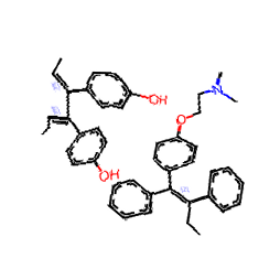 C/C=C(/C(=C/C)c1ccc(O)cc1)c1ccc(O)cc1.CC/C(=C(\c1ccccc1)c1ccc(OCCN(C)C)cc1)c1ccccc1